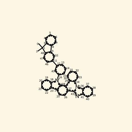 CC1(C)c2ccccc2-c2cc(-c3cccc(-n4c5ccccc5c5ccc6c(c7ccccc7n7c8ccccc8nc67)c54)c3)ccc21